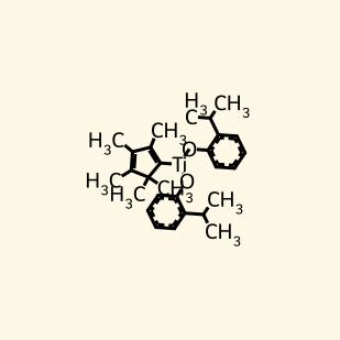 CC1=C(C)C(C)(C)[C]([Ti]([O]c2ccccc2C(C)C)[O]c2ccccc2C(C)C)=C1C